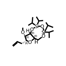 C=CC[C@H]1O[C@@H]2CO[Si](C(C)C)(C(C)C)O[Si](C(C)C)(C(C)C)O[C@H]2[C@H]1OC